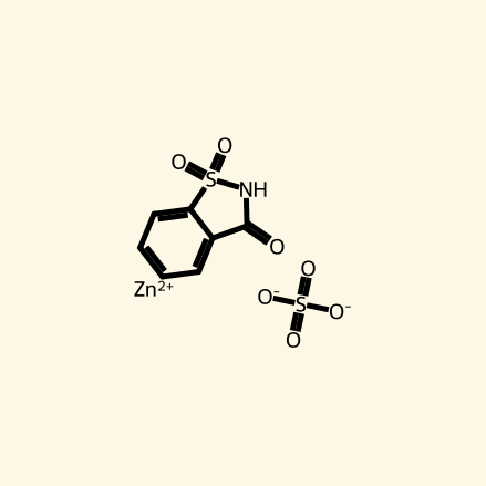 O=C1NS(=O)(=O)c2ccccc21.O=S(=O)([O-])[O-].[Zn+2]